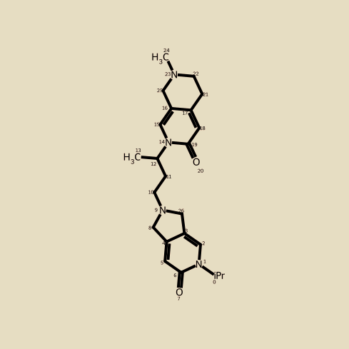 CC(C)n1cc2c(cc1=O)CN(CCC(C)n1cc3c(cc1=O)CCN(C)C3)C2